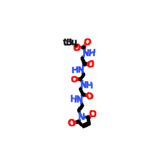 CC(C)(C)OC(=O)NCC(=O)NCC(=O)NCC(=O)NCCN1C(=O)C=CC1=O